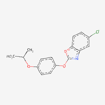 CC(Oc1ccc(Oc2nc3cc(Cl)ccc3o2)cc1)C(=O)O